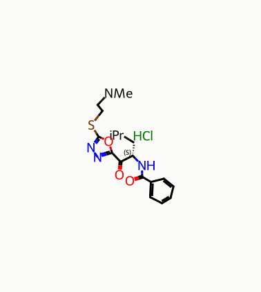 CNCCSc1nnc(C(=O)[C@H](CC(C)C)NC(=O)c2ccccc2)o1.Cl